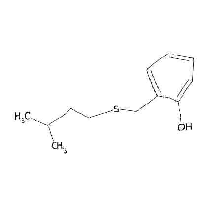 CC(C)CCSCc1ccccc1O